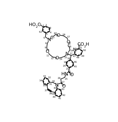 O=C(O)c1cccc(CN2CCOCCOCCN(C(c3ccc(C(=O)NCCC(=O)N4Cc5ccccc5C#Cc5ccccc54)cc3)c3cccc(C(=O)O)n3)CCOCCOCC2)c1